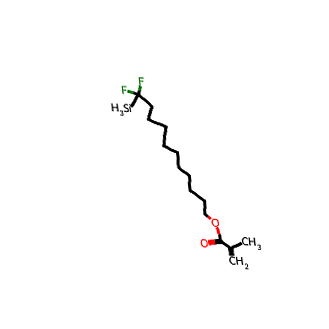 C=C(C)C(=O)OCCCCCCCCCCC(F)(F)[SiH3]